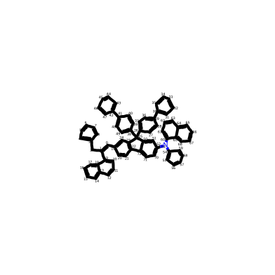 C(=C(\Cc1ccccc1)c1cccc2ccccc12)/c1ccc2c(c1)C(c1ccc(-c3ccccc3)cc1)(c1ccc(-c3ccccc3)cc1)c1cc(N(c3ccccc3)c3cccc4ccccc34)ccc1-2